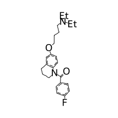 CCN(CC)CCCCOc1ccc2c(c1)CCCN2C(=O)c1ccc(F)cc1